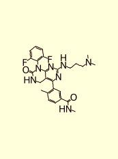 CNC(=O)c1ccc(C)c(-c2nc(NCCCN(C)C)nc3c2CNC(=O)N3c2c(F)cccc2F)c1